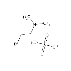 CN(C)CCBr.O=S(=O)(O)O